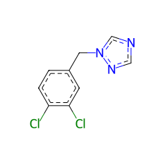 Clc1ccc(Cn2cncn2)cc1Cl